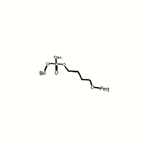 CCCC(C)OCCCCOP(=O)(O)OC(C)CC